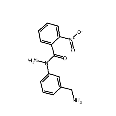 NCc1cccc(N(N)C(=O)c2ccccc2[N+](=O)[O-])c1